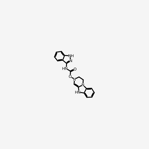 O=C(Nc1n[nH]c2ccccc12)ON1C=C2Nc3ccccc3N2CC1